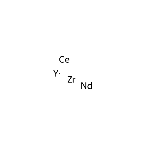 [Ce].[Nd].[Y].[Zr]